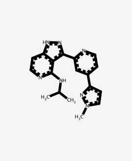 CC(C)Nc1nccc2[nH]nc(-c3cc(-c4ccn(C)n4)ccn3)c12